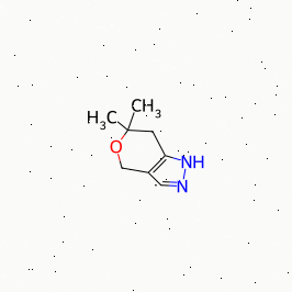 CC1(C)Cc2[nH]n[c]c2CO1